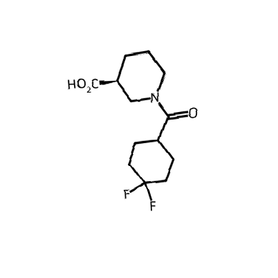 O=C(O)[C@H]1CCCN(C(=O)C2CCC(F)(F)CC2)C1